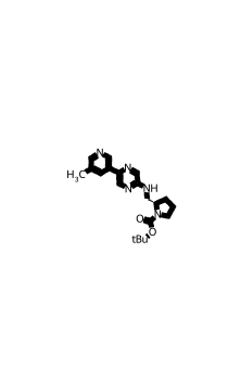 Cc1cncc(-c2cnc(NC[C@@H]3CCCN3C(=O)OC(C)(C)C)cn2)c1